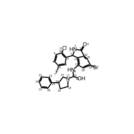 O=C1NC(c2cc(F)ccc2Cl)c2c(NC(O)N3CCC(c4ccccc4)C3)cc(Br)cc21